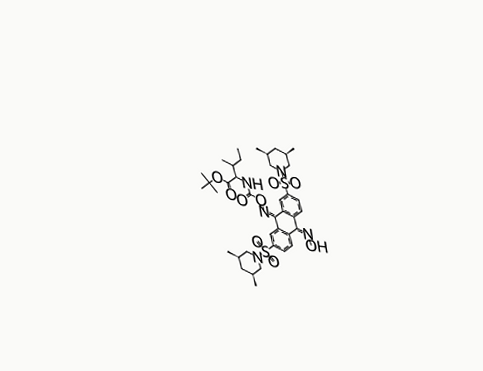 CCC(C)C(NC(=O)ON=C1c2cc(S(=O)(=O)N3C[C@H](C)C[C@H](C)C3)ccc2C(=NO)c2ccc(S(=O)(=O)N3C[C@H](C)C[C@H](C)C3)cc21)C(=O)OC(C)(C)C